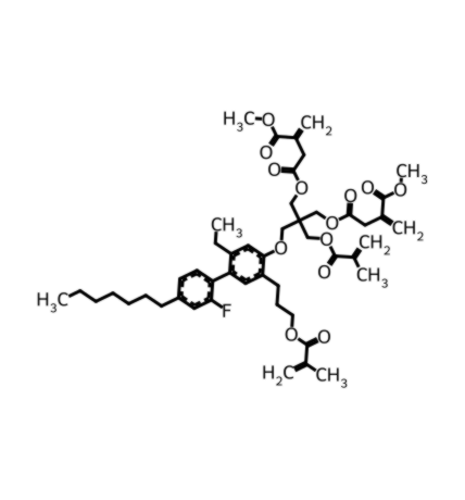 C=C(C)C(=O)OCCCc1cc(-c2ccc(CCCCCCC)cc2F)c(CC)cc1OCC(COC(=O)CC(=C)C(=O)OC)(COC(=O)CC(=C)C(=O)OC)COC(=O)C(=C)C